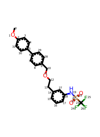 COc1ccc(-c2ccc(COCCc3cccc(NS(=O)(=O)C(F)(F)F)c3)cc2)cc1